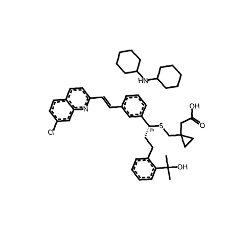 C1CCC(NC2CCCCC2)CC1.CC(C)(O)c1ccccc1CC[C@@H](SCC1(CC(=O)O)CC1)c1cccc(C=Cc2ccc3ccc(Cl)cc3n2)c1